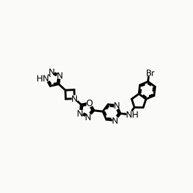 Brc1ccc2c(c1)CC(Nc1ncc(-c3nnc(N4CC(c5c[nH]nn5)C4)o3)cn1)C2